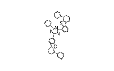 c1ccc(-c2nc(-c3ccc4c(c3)oc3c(-c5ccccc5)cccc34)nc(-c3cccc4c3sc3c(-c5ccccc5)cccc34)n2)cc1